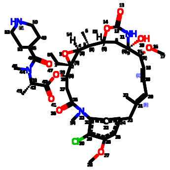 CC[C@@]12O[C@H]1[C@H](C)[C@@H]1C[C@@](O)(NC(=O)O1)[C@H](OC)/C=C/C=C(\C)Cc1cc(OC)c(Cl)c(c1)N(C)C(=O)C[C@@H]2OC(=O)[C@H](C)N(C)C(=O)C1CCNCC1